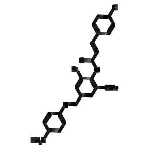 COc1cc(/C=N/c2ccc(C(=O)O)cc2)cc(Br)c1OC(=O)/C=C/c1ccc(Cl)cc1